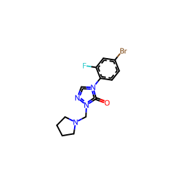 O=c1n(-c2ccc(Br)cc2F)cnn1CN1CCCC1